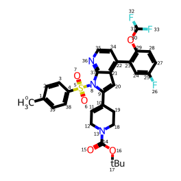 Cc1ccc(S(=O)(=O)n2c(C3=CCN(C(=O)OC(C)(C)C)CC3)cc3c(-c4cc(F)ccc4OC(F)F)ccnc32)cc1